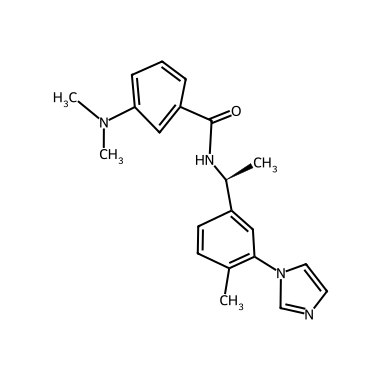 Cc1ccc([C@H](C)NC(=O)c2cccc(N(C)C)c2)cc1-n1ccnc1